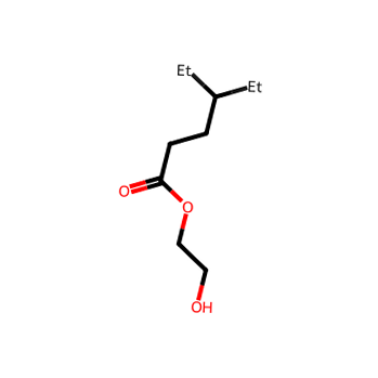 CCC(CC)CCC(=O)OCCO